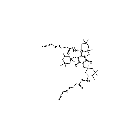 C=C=COOCCC(=O)ONC1CC(C)(C)CC(C)(Cn2c(=O)n(CC3(C)CC(C)CC(C)(C)C3)c(=O)n(CC3(C)CC(NOC(=O)CCOOC=C=C)C(C)C(C)(C)C3)c2=O)C1